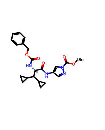 CC(C)(C)OC(=O)n1cc(NC(=O)[C@@H](NC(=O)OCc2ccccc2)C(C2CC2)C2CC2)cn1